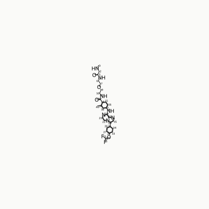 CNCC(=O)NCCOCCNC(=O)c1ccc(Nc2nccn3c(-c4ccc(OC(F)F)cc4)cnc23)cc1C